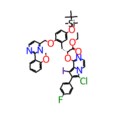 CCOC(=O)[C@@H](Cc1cc(O[Si](C)(C)C(C)(C)C)ccc1OCc1ccnc(-c2ccccc2OC)n1)Oc1nccn2c(Cl)c(-c3ccc(F)cc3)c(I)c12